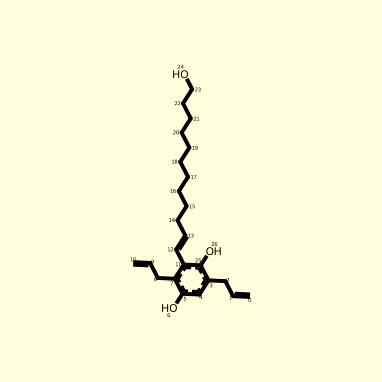 C=CCc1cc(O)c(CC=C)c(C=CCCCCCCCCCCO)c1O